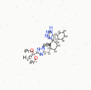 CCCCn1nc(C(C)(OC(C)C)OC(C)C)nc1Cc1ccc(-c2ccccc2-c2nnn[nH]2)cc1